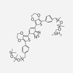 C[SiH2]CO[Si](C)(C)O[Si](C)(C)Cc1ccc(-c2sc(-c3ccc(-c4sc(-c5ccc(C[Si](C)(C)O[Si](C)(C)O[Si](C)(C)C)cc5)c5c4OCCO5)c4nsnc34)c3c2OCCO3)cc1